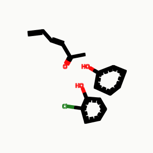 C=CC=CC(C)=O.Oc1ccccc1.Oc1ccccc1Cl